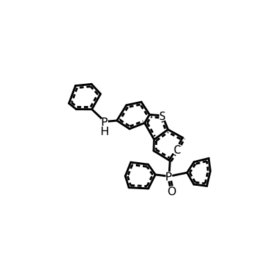 O=P(c1ccccc1)(c1ccccc1)c1ccc2sc3ccc(Pc4ccccc4)cc3c2c1